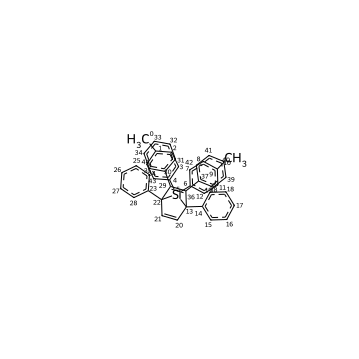 Cc1ccc([Si]2(c3ccc(C)cc3)C3(c4ccccc4)C=CC2(c2ccccc2)C(c2ccccc2)=C3c2ccccc2)cc1